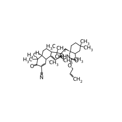 C=CCOC(=O)N[C@]1(CCC(C)(C)[C@]2(C)CC[C@H]3C(C)(C)C(=O)C(C#N)=C[C@]3(C)/C2=C/C(C)=O)CCC(C)(C)CC1C